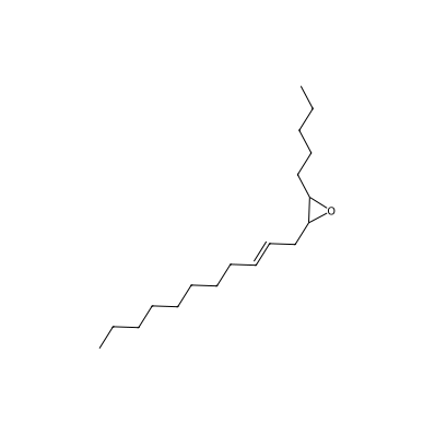 CCCCCCCCC=CCC1OC1CCCCC